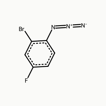 [N-]=[N+]=Nc1ccc(F)cc1Br